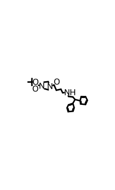 CC(C)(C)OC(=O)N1CCN(C(=O)CCCNCCC(c2ccccc2)c2ccccc2)CC1